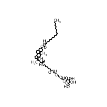 CCCCCCCC/C=C\CCCCCCCCNC(=O)O[C@@H]1CC[C@@]2(C)C(CCC3C4CCC(C(C)CCC(=O)NCCCCCC(=O)NCCOCCOCCO[C@H]5OC(CO)[C@@H](O)C(O)C5O)[C@@]4(C)CCC32)C1